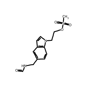 CS(=O)(=O)OCCn1ccc2cc(CNC=O)ccc21